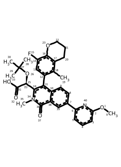 COc1cccc(-c2ccc3c(-c4cc(F)c5c(c4C)CCCO5)c([C@H](OC(C)(C)C)C(=O)O)n(C)c(=O)c3c2)n1